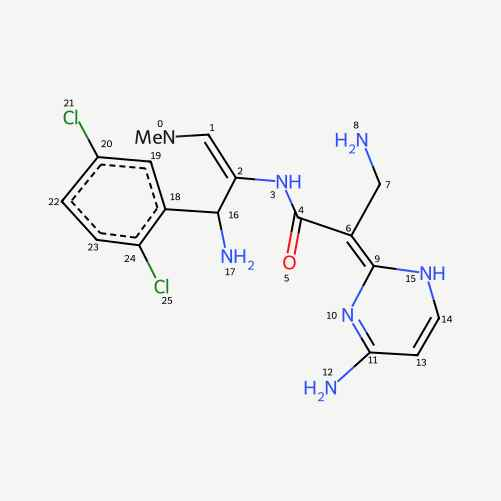 CN/C=C(/NC(=O)/C(CN)=C1\N=C(N)C=CN1)C(N)c1cc(Cl)ccc1Cl